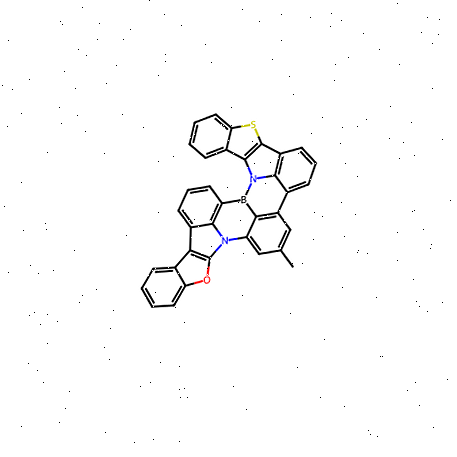 Cc1cc2c3c(c1)-n1c4oc5ccccc5c4c4cccc(c41)B3n1c3c-2cccc3c2sc3ccccc3c21